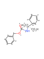 C[C@@](NC(=O)OCc1ccccc1)(C(=O)O)c1ccccc1